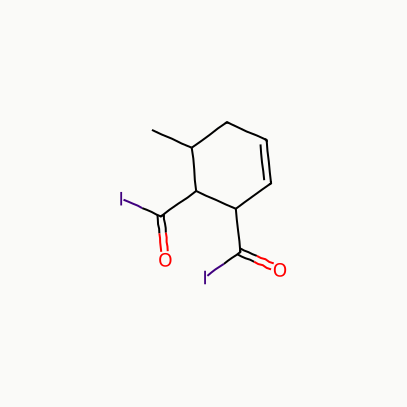 CC1CC=CC(C(=O)I)C1C(=O)I